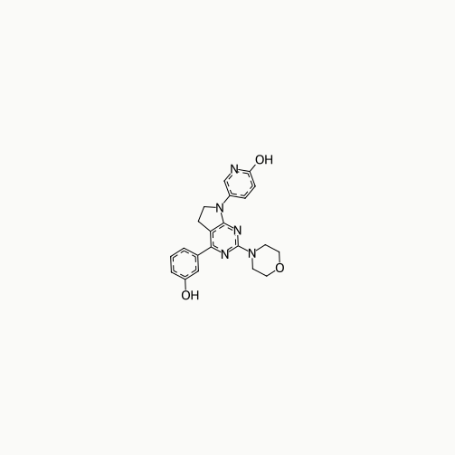 Oc1cccc(-c2nc(N3CCOCC3)nc3c2CCN3c2ccc(O)nc2)c1